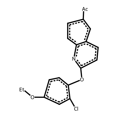 CCOc1ccc(Oc2ccc3cc(C(C)=O)ccc3n2)c(Cl)c1